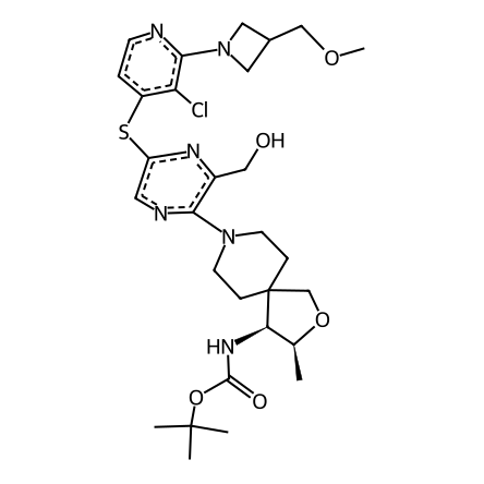 COCC1CN(c2nccc(Sc3cnc(N4CCC5(CC4)CO[C@@H](C)[C@H]5NC(=O)OC(C)(C)C)c(CO)n3)c2Cl)C1